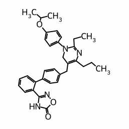 CCCC1=C(Cc2ccc(-c3ccccc3-c3noc(=O)[nH]3)cc2)CN(c2ccc(OC(C)C)cc2)C(CC)=N1